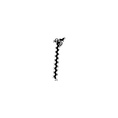 CC=C[Si](CCCCCCCCCCCCCCCCCC)(OC)OC